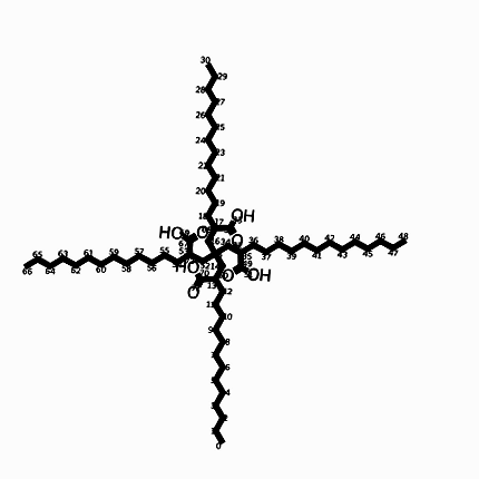 CCCCCCCCCCCCCC(CC(CC(CCCCCCCCCCCCC)C(=O)O)(CC(CCCCCCCCCCCCC)C(=O)O)CC(CCCCCCCCCCCCC)C(=O)O)C(=O)O